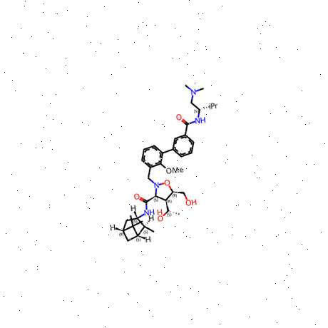 COc1c(CN2O[C@@H](CO)[C@@H]([C@H](C)O)[C@H]2C(=O)N[C@H]2C[C@H]3C[C@@H]([C@@H]2C)C3(C)C)cccc1-c1cccc(C(=O)N[C@H](CN(C)C)C(C)C)c1